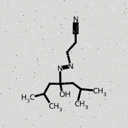 CC(C)CC(O)(CC(C)C)N=NCCC#N